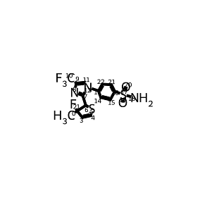 CC1(F)C=CSC1c1nc(C(F)(F)F)cn1-c1ccc(S(N)(=O)=O)cc1